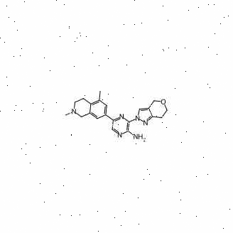 Cc1cc(-c2cnc(N)c(-n3cc4c(n3)CCOC4)n2)cc2c1CCN(C)C2